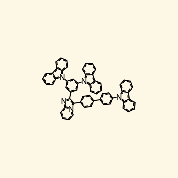 c1ccc2c(c1)c1ccccc1n2-c1ccc(-c2ccc(-c3c(-c4cc(-n5c6ccccc6c6ccccc65)cc(-n5c6ccccc6c6ccccc65)c4)nc4ccccn34)cc2)cc1